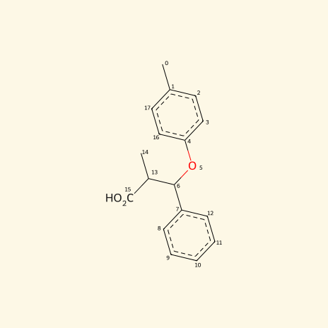 Cc1ccc(OC(c2ccccc2)C(C)C(=O)O)cc1